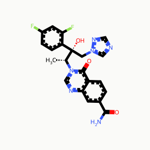 C[C@@H](n1cnc2cc(C(N)=O)ccc2c1=O)[C@](O)(Cn1cncn1)c1ccc(F)cc1F